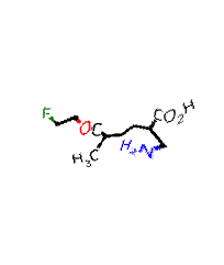 CC(CCC(CN)C(=O)O)COCCF